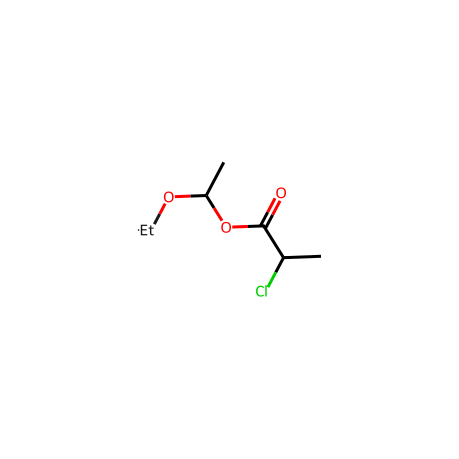 C[CH]OC(C)OC(=O)C(C)Cl